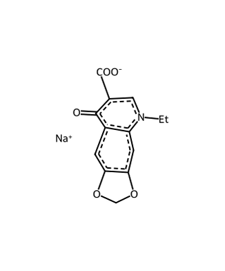 CCn1cc(C(=O)[O-])c(=O)c2cc3c(cc21)OCO3.[Na+]